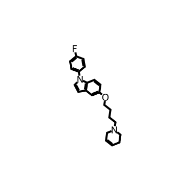 Fc1ccc(-n2ccc3cc(OCCCCN4CC=CCC4)ccc32)cc1